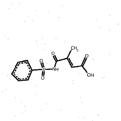 CC(=CC(=O)O)C(=O)NS(=O)(=O)c1ccccc1